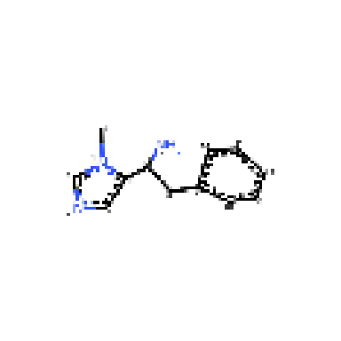 Cn1cncc1C(N)Cc1ccccc1